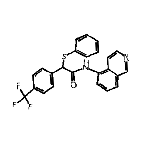 O=C(Nc1cccc2cnccc12)C(Sc1ccccc1)c1ccc(C(F)(F)F)cc1